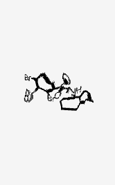 O=S(=O)(NC1CCCc2ccccc21)c1ccc(Br)c(Br)c1Br